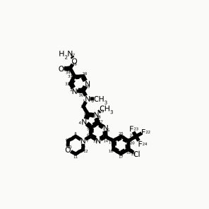 CN(Cc1nc2c(N3CCOCC3)nc(-c3ccc(Cl)c(C(F)(F)F)c3)nc2n1C)c1ncc(C(=O)ON)cn1